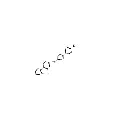 CCCC(C)NC(=O)c1ccc(-c2ccc(C(=O)Nc3ccc(-c4ccc(C(C)(C)C)cc4C(F)(F)F)c(C(F)(F)F)c3)cc2)cc1